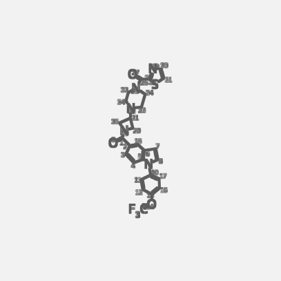 O=C(c1ccc2c(ccn2-c2ccc(OC(F)(F)F)cc2)c1)N1CC(N2CCN(C(=O)c3nccs3)CC2)C1